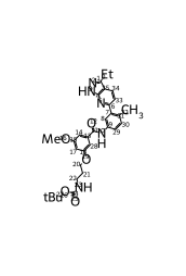 CCc1n[nH]c2nc(-c3cc(NC(=O)c4cc(OC)cc(OCCCNC(=O)OC(C)(C)C)c4)ccc3C)ccc12